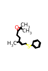 CC(=CCSc1ccccc1)CCC1OC1(C)C